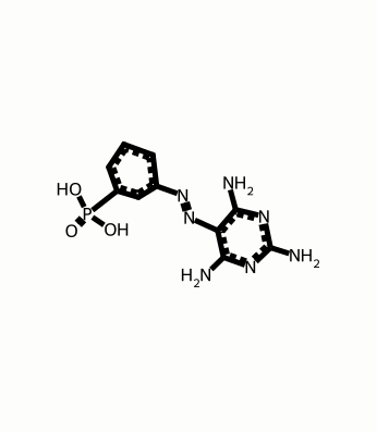 Nc1nc(N)c(N=Nc2cccc(P(=O)(O)O)c2)c(N)n1